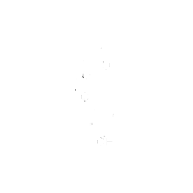 CCOC(C)COC(C)COCC1CCCC(O)C1